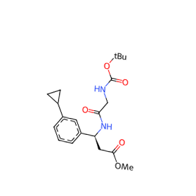 COC(=O)C[C@H](NC(=O)CNC(=O)OC(C)(C)C)c1cccc(C2CC2)c1